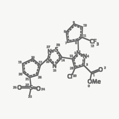 COC(=O)c1nn(-c2ccccc2C(F)(F)F)c(-c2nc(-c3cccc(S(C)(=O)=O)c3)ns2)c1Cl